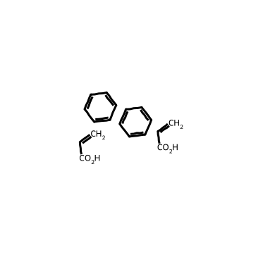 C=CC(=O)O.C=CC(=O)O.c1ccccc1.c1ccccc1